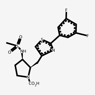 CS(=O)(=O)N[C@@H]1CCN(C(=O)O)[C@@H]1Cc1csc(-c2cc(F)cc(F)c2)n1